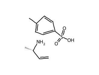 C=C[C@H](C)N.Cc1ccc(S(=O)(=O)O)cc1